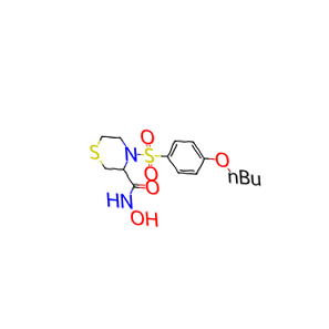 CCCCOc1ccc(S(=O)(=O)N2CCSCC2C(=O)NO)cc1